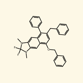 CN1c2cc3c(OCc4ccccc4)cc(Cc4ccccc4)c(-c4ccccc4)c3cc2N(C)C1(F)F